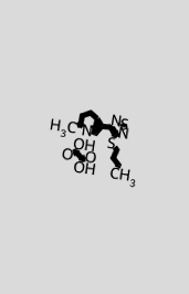 CCCCSc1nsnc1C1CN2CC1CCC2C.O=C(O)C(=O)O